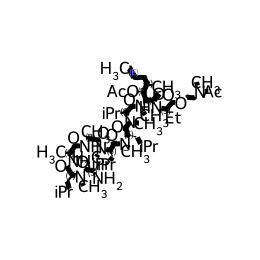 C/C=C/C[C@@H](C)[C@@H](OC(C)=O)[C@@H](C(=O)N[C@@H](CC)C(=O)OCCN(C)C(C)=O)N(C)C(=O)[C@H](C(C)C)N(C)C(=O)[C@H](CC(C)C)N(C)C(=O)[C@H](CC(C)C)N(C)C(=O)[C@@H](C)NC(=O)[C@H](C)NC(=O)[C@H](CC(C)C)N(C)C(=O)[C@@H](N)C(C)C